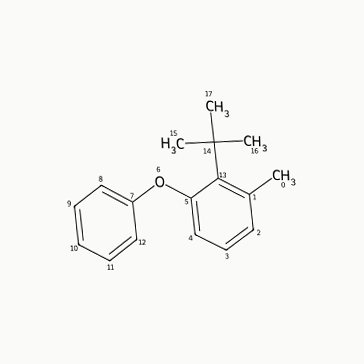 Cc1cccc(Oc2ccccc2)c1C(C)(C)C